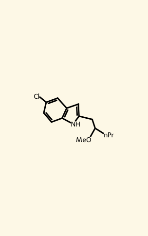 CCCC(Cc1cc2cc(Cl)ccc2[nH]1)OC